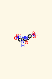 O=C(c1cc2cc([N+](=O)[O-])ccc2[nH]1)c1cc2cc([N+](=O)[O-])ccc2[nH]1